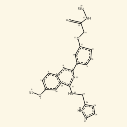 CCOc1ccc2nc(-c3cccc(OCC(=O)NC(C)(C)C)c3)nc(NCc3ccn[nH]3)c2c1